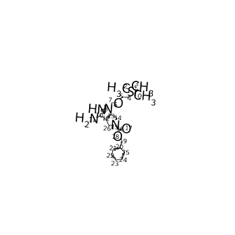 C[Si](C)(C)CCOCN1NC(N)C2=C1CN(C(=O)OCc1ccccc1)C2